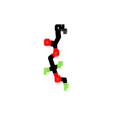 C=CC(=O)OCC(F)(F)OCF